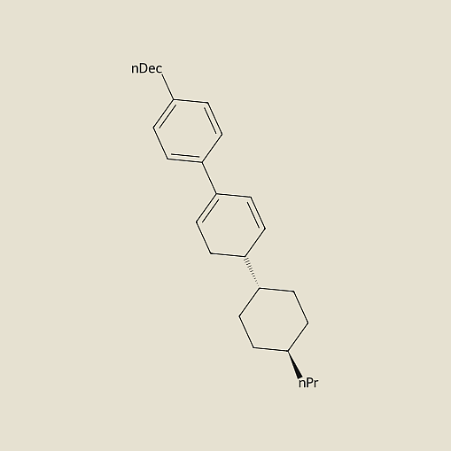 CCCCCCCCCCc1ccc(C2=CCC([C@H]3CC[C@H](CCC)CC3)C=C2)cc1